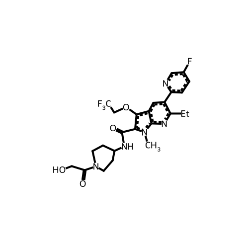 CCc1nc2c(cc1-c1ccc(F)cn1)c(OCC(F)(F)F)c(C(=O)NC1CCN(C(=O)CO)CC1)n2C